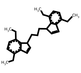 CCc1ccc(CC)c2c1C=C[C]2CCC[C]1C=Cc2c(CC)ccc(CC)c21